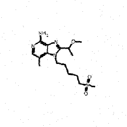 COC(C)c1nc2c(N)ncc(C)c2n1CCCCCS(C)(=O)=O